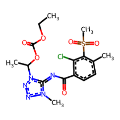 CCOC(=O)OC(C)n1nnn(C)c1=NC(=O)c1ccc(C)c(S(C)(=O)=O)c1Cl